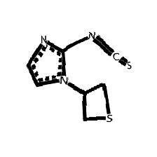 S=C=Nc1nccn1C1CSC1